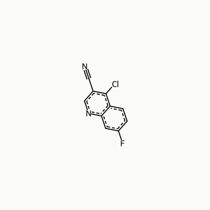 N#Cc1cnc2cc(F)ccc2c1Cl